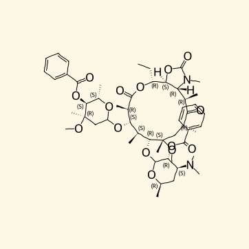 CC[C@H]1OC(=O)[C@H](C)[C@@H](OC2C[C@@](C)(OC)[C@@H](OC(=O)c3ccccc3)[C@H](C)O2)[C@H](C)[C@@H](OC2O[C@H](C)C[C@H](N(C)C)[C@H]2OC(=O)c2ccccc2)[C@@](C)(OC)C[C@@H](C)C(=O)[C@H](C)[C@@H]2[C@@H]1OC(=O)N2C